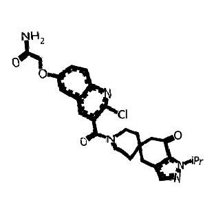 CC(C)n1ncc2c1C(=O)CC1(CCN(C(=O)c3cc4cc(OCC(N)=O)ccc4nc3Cl)CC1)C2